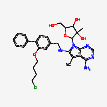 CC1(O)C(O)C(CO)OC1n1c(NCc2ccc(-c3ccccc3)c(OCCCCCl)c2)c(C#N)c2c(N)ncnc21